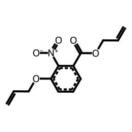 C=CCOC(=O)c1cccc(OCC=C)c1[N+](=O)[O-]